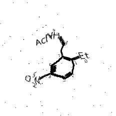 CCc1ccc([N+](=O)[O-])cc1CNC(C)=O